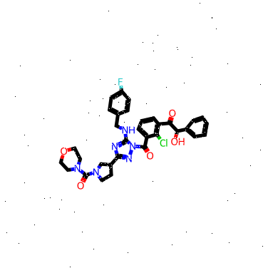 O=C(c1cccc(C(=O)n2nc(C3CCN(C(=O)N4CCOCC4)C3)nc2NCc2ccc(F)cc2)c1Cl)C(O)c1ccccc1